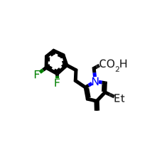 C=C1C=C(CCc2cccc(F)c2F)N(CC(=O)O)C=C1CC